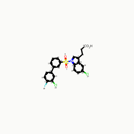 O=C(O)CCc1cn(S(=O)(=O)c2cccc(-c3ccc(F)c(Cl)c3)c2)c2ccc(Cl)cc12